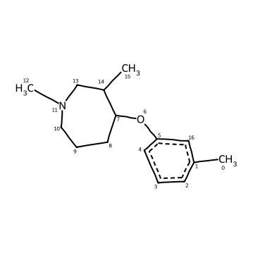 Cc1cccc(OC2CCCN(C)CC2C)c1